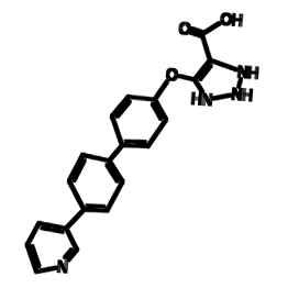 O=C(O)C1=C(Oc2ccc(-c3ccc(-c4cccnc4)cc3)cc2)NNN1